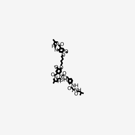 COc1cc2c(cc1OCCCCCOc1cc3c(cc1OC)C(=O)N1C=C(C)C[C@H]1[C@H](O)N3C(=O)OCc1ccc(NC(=O)[C@H](C)NC(=O)CC(C)C)cc1)N=C[C@@H]1CC(C)=CN1C2=O